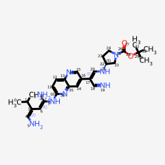 CC(C)C(=C/N)/C=C(\N)Nc1ccc2ncc(/C(C=N)=C/N[C@H]3CCN(C(=O)OC(C)(C)C)C3)cc2n1